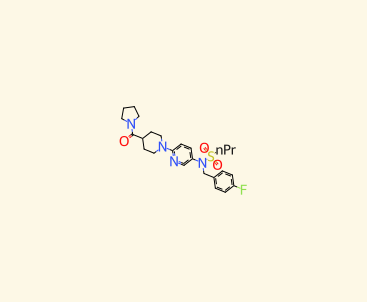 CCCS(=O)(=O)N(Cc1ccc(F)cc1)c1ccc(N2CCC(C(=O)N3CCCC3)CC2)nc1